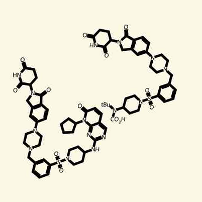 CC(C)(C)N(C(=O)O)C1CCN(S(=O)(=O)c2cccc(CN3CCN(c4ccc5c(c4)CN(C4CCC(=O)NC4=O)C5=O)CC3)c2)CC1.O=C1CCC(N2Cc3cc(N4CCN(Cc5cccc(S(=O)(=O)N6CCC(Nc7ncc8ccc(=O)n(C9CCCC9)c8n7)CC6)c5)CC4)ccc3C2=O)C(=O)N1